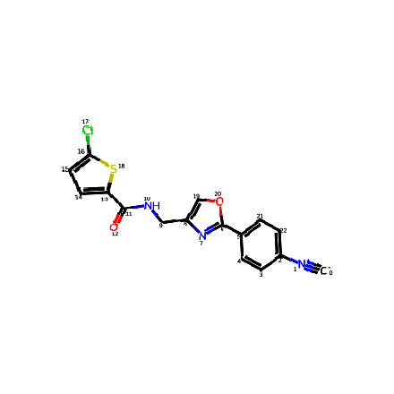 [C-]#[N+]c1ccc(-c2nc(CNC(=O)c3ccc(Cl)s3)co2)cc1